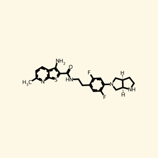 Cc1ccc2c(N)c(C(=O)NCCc3cc(F)c(N4C[C@H]5CCN[C@H]5C4)cc3F)sc2n1